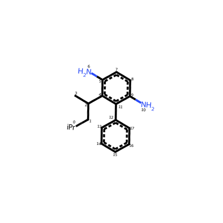 CC(C)CC(C)c1c(N)ccc(N)c1-c1ccccc1